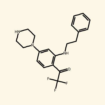 O=C(c1ccc(N2CCNCC2)cc1NCCc1ccccc1)C(F)(F)F